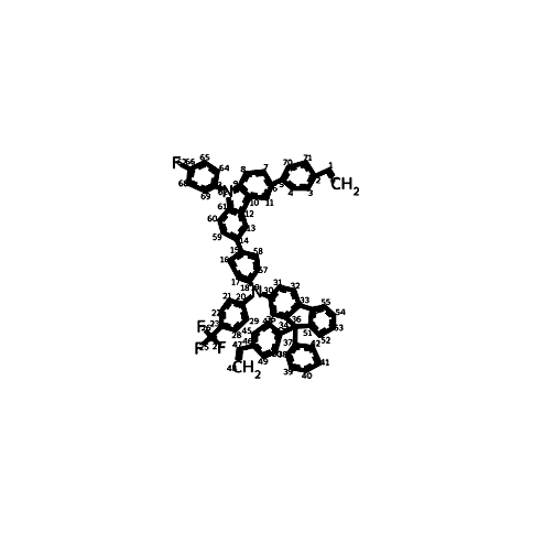 C=Cc1ccc(-c2ccc3c(c2)c2cc(-c4ccc(N(c5ccc(C(F)(F)F)cc5)c5ccc6c(c5)C(c5ccccc5)(c5ccc(C=C)cc5)c5ccccc5-6)cc4)ccc2n3-c2ccc(F)cc2)cc1